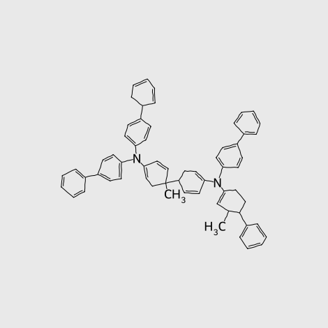 CC1C=C(N(C2=CCC(C3(C)C=CC(N(c4ccc(-c5ccccc5)cc4)c4ccc(C5C=CC=CC5)cc4)=CC3)C=C2)c2ccc(-c3ccccc3)cc2)CCC1c1ccccc1